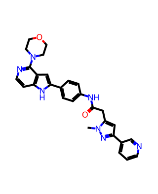 Cn1nc(-c2cccnc2)cc1CC(=O)Nc1ccc(-c2cc3c(N4CCOCC4)nccc3[nH]2)cc1